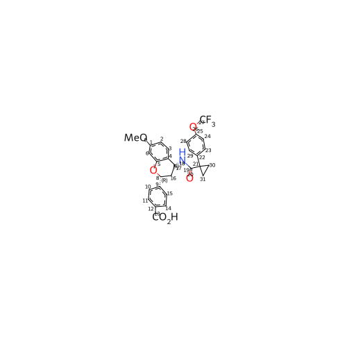 COc1ccc2c(c1)O[C@@H](c1ccc(C(=O)O)cc1)C[C@H]2NC(=O)C1(c2ccc(OC(F)(F)F)cc2)CC1